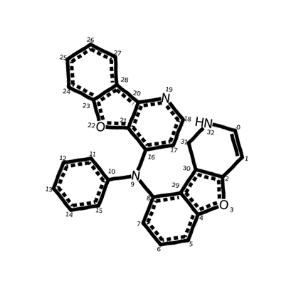 C1=Cc2oc3cccc(N(c4ccccc4)c4ccnc5c4oc4ccccc45)c3c2CN1